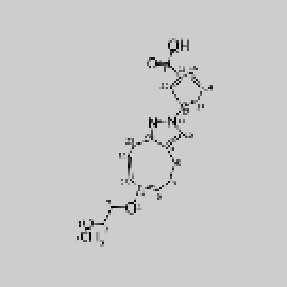 COCCOC1=C/CCc2cn(-c3cccc(C(=O)O)c3)nc2C/C=C\1